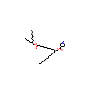 CCCCCCCCCCC(CCCCCCCCCC(=O)OCC(CCCC)CCCCCC)COC(=O)C1CCN(C)CC1